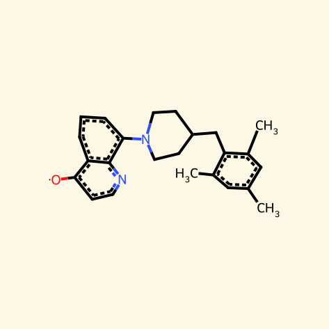 Cc1cc(C)c(CC2CCN(c3cccc4c([O])ccnc34)CC2)c(C)c1